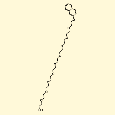 OCCOCCOCCOCCOCCOCCOCCOCCOCCOCCOc1ccc2ccccc2c1